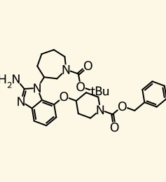 CC(C)(C)OC(=O)N1CCCCC(n2c(N)nc3cccc(OC4CCN(C(=O)OCc5ccccc5)CC4)c32)C1